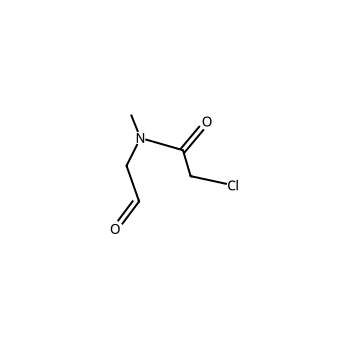 CN(CC=O)C(=O)CCl